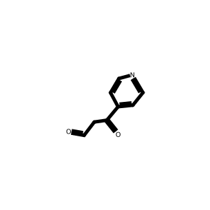 O=CCC(=O)c1ccncc1